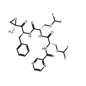 C[C@]1(C(=O)[C@H](Cc2ccccc2)NC(=O)[C@H](COC(F)F)NC(=O)[C@H](COC(F)F)NC(=O)c2cnccn2)CO1